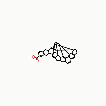 O=C(O)c1ccc2c(c1)CC1c3cc4c5c6c(cc7ccc8cc9c%10c%11c(cc(c%12c3c5c(c%12%11)c3c%10c8c7c63)C1C2)C9)C4